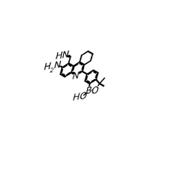 CC1(C)OB(O)c2cc(-c3nc4ccc(N)c(C=N)c4c4c3CCCC4)ccc21